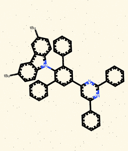 CC(C)(C)c1ccc2c(c1)c1cc(C(C)(C)C)ccc1n2-c1c(-c2ccccc2)cc(-c2cc(-c3ccccc3)nc(-c3ccccc3)n2)cc1-c1ccccc1